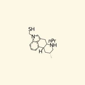 CCC[C@@]12Cc3cn(CS)c4cccc(c34)[C@H]1C[C@@H](C)CN2